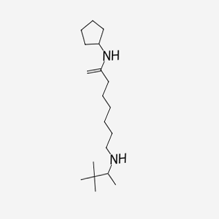 C=C(CCCCCCNC(C)C(C)(C)C)NC1CCCC1